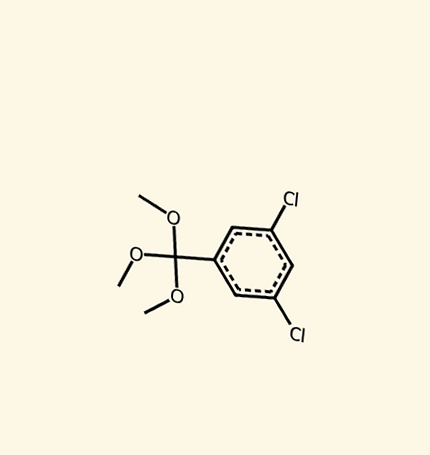 COC(OC)(OC)c1cc(Cl)cc(Cl)c1